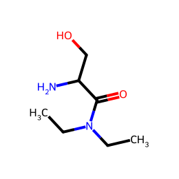 CCN(CC)C(=O)C(N)CO